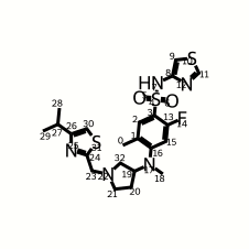 Cc1cc(S(=O)(=O)Nc2cscn2)c(F)cc1N(C)C1CCN(Cc2nc(C(C)C)cs2)C1